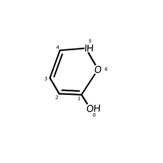 OC1=CC=C[IH]O1